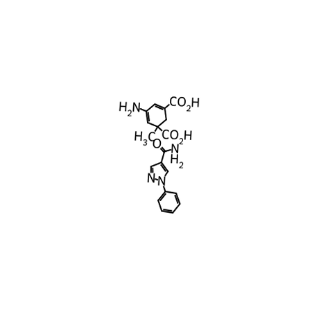 CC1(C(=O)O)C=C(N)C=C(C(=O)O)C1.NC(=O)c1cnn(-c2ccccc2)c1